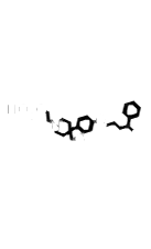 CC(CCCOc1ccc2c(c1)OCC21CCN(CCC(=O)O)CC1)c1ccccc1